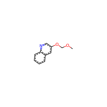 COCOc1cnc2ccccc2c1